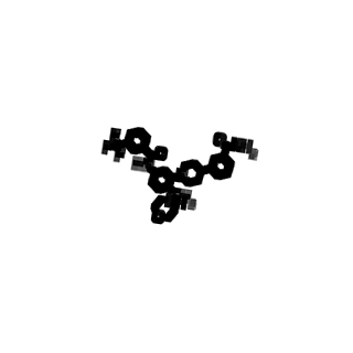 C1COCCN1.Cc1ccc(NC(=O)c2cccc(C(F)(F)F)c2)cc1N1CCC(c2cccc(C(N)=O)c2)CC1